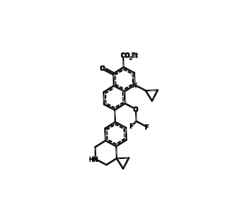 CCOC(=O)c1cn(C2CC2)c2c(OC(F)F)c(-c3ccc4c(c3)CNCC43CC3)ccc2c1=O